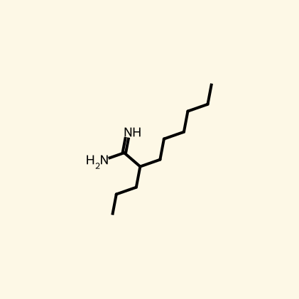 CCCCCCC(CCC)C(=N)N